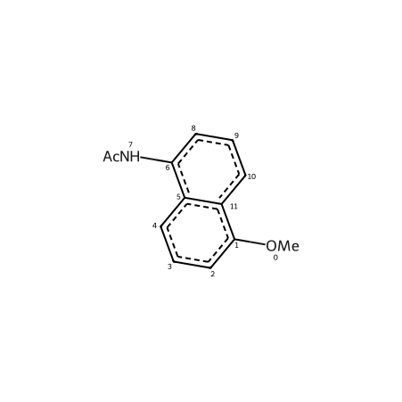 COc1cccc2c(NC(C)=O)cccc12